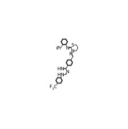 CC(C)c1ccccc1/N=C1\SCCCN1/N=C/c1ccc(C(=N)/N=C\Nc2ccc(C(F)(F)F)cc2)cc1